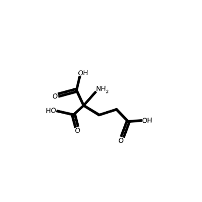 NC(CCC(=O)O)(C(=O)O)C(=O)O